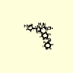 Cl.NC(=O)c1nc(C2CCNC2)oc1-c1ccc(Oc2ccccc2)cc1